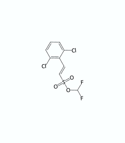 O=S(=O)(C=Cc1c(Cl)cccc1Cl)OC(F)F